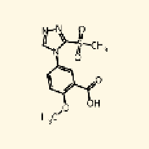 COc1ccc(-n2cnnc2S(C)(=O)=O)cc1C(=O)O